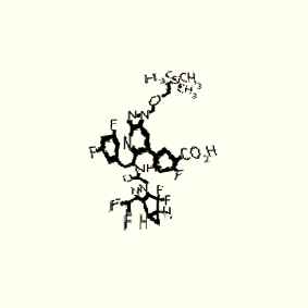 C[Si](C)(C)CCOCn1ncc2nc(C(Cc3cc(F)cc(F)c3)NC(=O)Cn3nc(C(F)F)c4c3C(F)(F)[C@@H]3C[C@H]43)c(-c3ccc(F)c(C(=O)O)c3)cc21